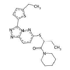 CCc1ccc(-c2nnc3ccc(S[C@H](CC)C(=O)N4CCCCC4)nn23)s1